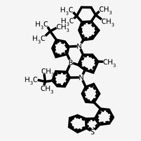 Cc1cc2c3c(c1)N(c1ccc4c(c1)C(C)(C)CCC4(C)C)c1cc(C(C)(C)C)ccc1B3c1cc(C(C)(C)C)ccc1N2c1ccc(-c2cccc3sc4ccccc4c23)cc1